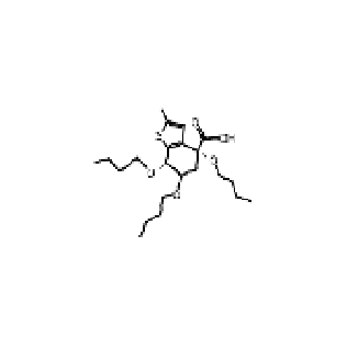 CCCCO[C@@H]1c2sc(C)cc2[C@@](OCCCC)(C(=O)O)C[C@H]1OCCCC